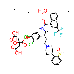 CN(C[C@@H](CCN1CCC(c2ccccc2[S@+](C)[O-])CC1)c1ccc(Cl)c(Cl)c1)C(=O)c1cc(C(F)(F)F)cc2ccccc12.O.O=C(O)CC(O)(CC(=O)O)C(=O)O